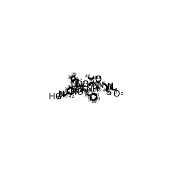 COCc1nc(CN2CCN([C@H](C(=O)N[C@@H](Cc3ccccc3)[C@H](O)CN(CC3CCC3)S(=O)(=O)c3ccc(C=NO)cc3)C(C)C)C2=O)cs1